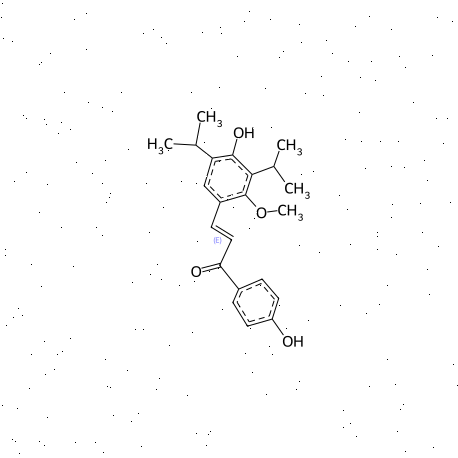 COc1c(/C=C/C(=O)c2ccc(O)cc2)cc(C(C)C)c(O)c1C(C)C